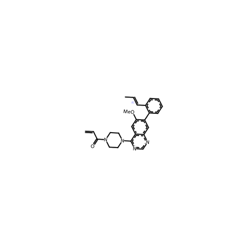 C=CC(=O)N1CCN(c2ncnc3cc(-c4ccccc4/C=C/C)c(OC)cc23)CC1